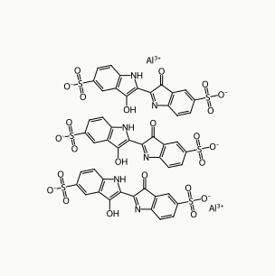 O=C1C(c2[nH]c3ccc(S(=O)(=O)[O-])cc3c2O)=Nc2ccc(S(=O)(=O)[O-])cc21.O=C1C(c2[nH]c3ccc(S(=O)(=O)[O-])cc3c2O)=Nc2ccc(S(=O)(=O)[O-])cc21.O=C1C(c2[nH]c3ccc(S(=O)(=O)[O-])cc3c2O)=Nc2ccc(S(=O)(=O)[O-])cc21.[Al+3].[Al+3]